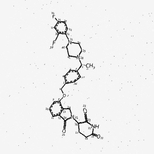 C[C@H](c1ccc(COc2cccc3c2CN(C2CCC(=O)NC2=O)C3=O)cc1)N1CCN(c2ccc(F)cc2F)CC1